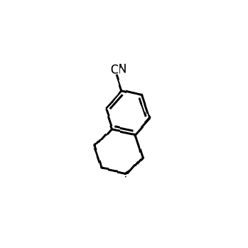 N#Cc1ccc2c(c1)CC[CH]C2